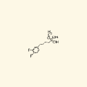 CO[Si](O)(O)CCCCc1ccc(F)c(F)c1